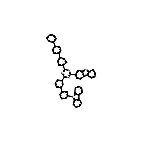 c1ccc(-c2ccc(-c3ccc(-c4nc(-c5cccc(-c6cccc(-n7c8ccccc8c8ccccc87)c6)c5)nc(-c5ccc6c(c5)sc5ccccc56)n4)cc3)cc2)cc1